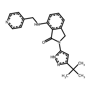 CC(C)(C)c1cc(N2Cc3cccc(NCc4ccncc4)c3C2=O)[nH]n1